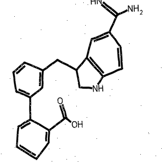 N=C(N)c1ccc2c(c1)C(Cc1cccc(-c3ccccc3C(=O)O)c1)CN2